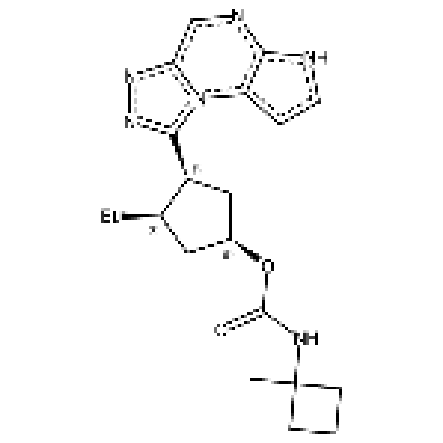 CC[C@@H]1C[C@H](OC(=O)NC2(C)CCC2)C[C@@H]1c1nnc2cnc3[nH]ccc3n12